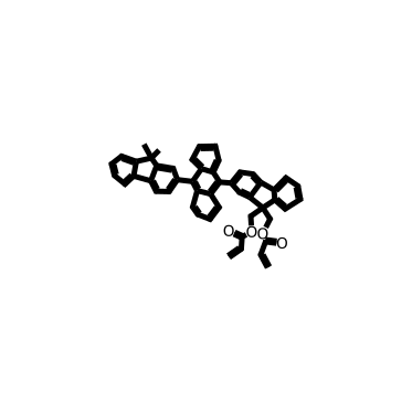 C=CC(=O)OCC1(COC(=O)C=C)c2ccccc2-c2ccc(-c3c4ccccc4c(-c4ccc5c(c4)C(C)(C)c4ccccc4-5)c4ccccc34)cc21